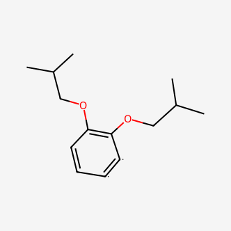 CC(C)COc1[c][c]ccc1OCC(C)C